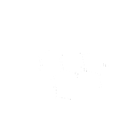 CC1=NCCN1Oc1ccccc1C1CC1